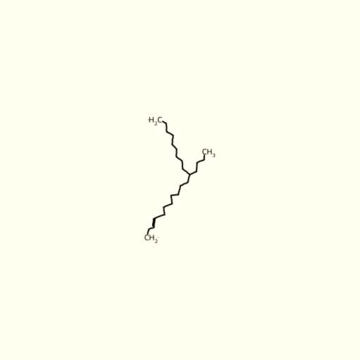 [CH2]CC=CCCCCCCCC(CCCC)CCCCCCCC[CH2]